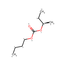 CCCCOC(=O)O[C@H](C)CC